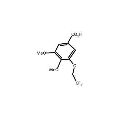 COc1cc(C(=O)O)cc(OCC(F)(F)F)c1OC